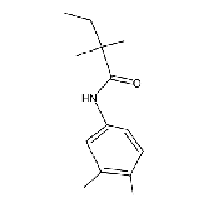 CCC(C)(C)C(=O)Nc1ccc(C)c(C)c1